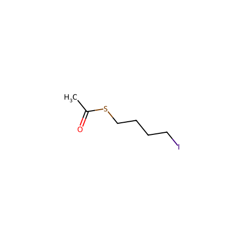 CC(=O)SCCCCI